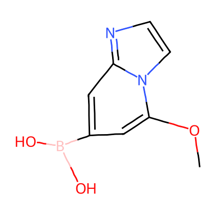 COc1cc(B(O)O)cc2nccn12